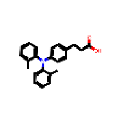 Cc1ccccc1N(c1ccc(CCC(=O)O)cc1)c1ccccc1C